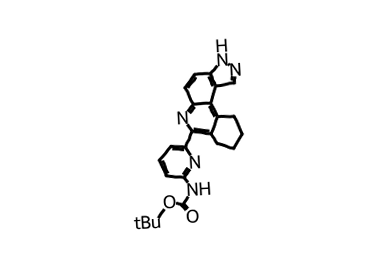 CC(C)(C)OC(=O)Nc1cccc(-c2nc3ccc4[nH]ncc4c3c3c2CCCC3)n1